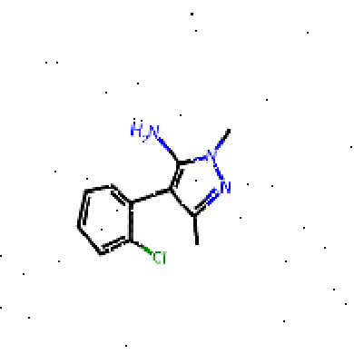 Cc1nn(C)c(N)c1-c1ccccc1Cl